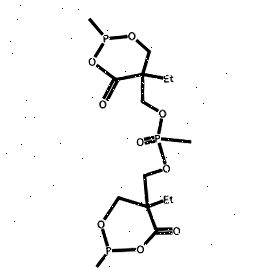 CCC1(COP(C)(=O)OCC2(CC)COP(C)OC2=O)COP(C)OC1=O